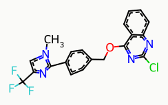 Cn1cc(C(F)(F)F)nc1-c1ccc(COc2nc(Cl)nc3ccccc23)cc1